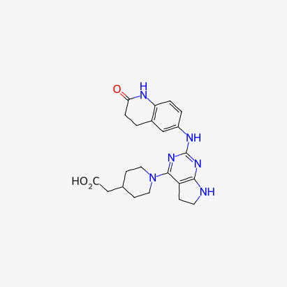 O=C(O)CC1CCN(c2nc(Nc3ccc4c(c3)CCC(=O)N4)nc3c2CCN3)CC1